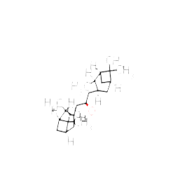 C[C@@H]1[C@@H](CC(=O)C[C@H]2C[C@H]3C[C@H]([C@@H]2C)C3(C)C)C[C@H]2C[C@H]1C2(C)C